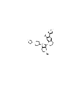 CC(=O)N1CCc2c(c(N3CCCc4cc(-c5cnn(C)c5)c(C(F)F)cc43)nn2C2CCN([C@H]3CCNC3)CC2)C1